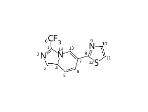 FC(F)(F)c1ncc2ccc(-c3nccs3)cn12